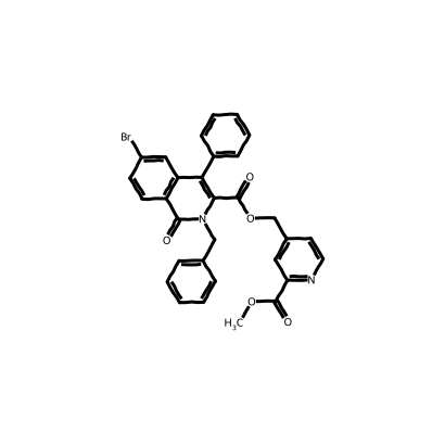 COC(=O)c1cc(COC(=O)c2c(-c3ccccc3)c3cc(Br)ccc3c(=O)n2Cc2ccccc2)ccn1